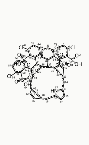 O=S(=O)(O)c1c(Cl)cccc1C1=Cc2cc3ccc(cc4nc(cc5[nH]c(c(-c6cccc(Cl)c6S(=O)(=O)O)c1n2)c(-c1cccc(Cl)c1S(=O)(=O)O)c5-c1cccc(Cl)c1S(=O)(=O)O)C=C4)[nH]3